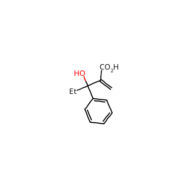 C=C(C(=O)O)C(O)(CC)c1ccccc1